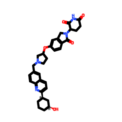 O=C1CCC(N2Cc3cc(OC4CCN(Cc5ccc6nc([C@@H]7CCC[C@@H](O)C7)ccc6c5)C4)ccc3C2=O)C(=O)N1